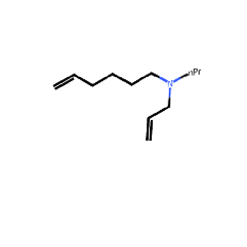 C=CCCCCN(CC=C)CCC